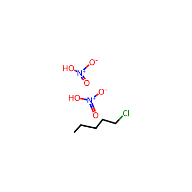 CCCCCCl.O=[N+]([O-])O.O=[N+]([O-])O